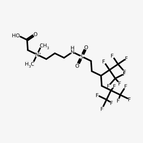 C[N+](C)(CCCNS(=O)(=O)CCC(CC(F)(C(F)(F)F)C(F)(F)F)C(F)(C(F)(F)F)C(F)(F)F)CC(=O)O